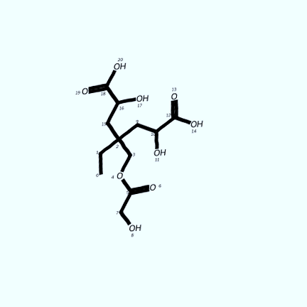 CCC(COC(=O)CO)(CC(O)C(=O)O)CC(O)C(=O)O